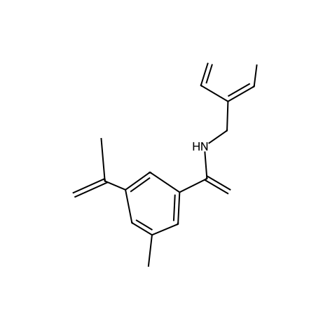 C=C/C(=C\C)CNC(=C)c1cc(C)cc(C(=C)C)c1